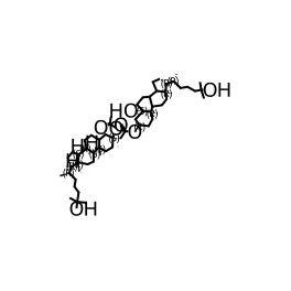 CC(=O)O[C@@]1(CC(=O)O[C@@H]2CC[C@]3(C)C4CC[C@@]5(C)C(CC[C@@H]5[C@H](C)CCCC(C)(C)O)C4CC[C@]3(O)C2)CC[C@@]2(C)C(CC[C@H]3[C@@H]4CC[C@H]([C@H](C)CCCC(C)(C)O)[C@@]4(C)CC[C@@H]32)C1